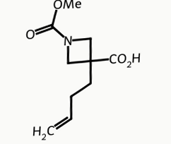 C=CCCC1(C(=O)O)CN(C(=O)OC)C1